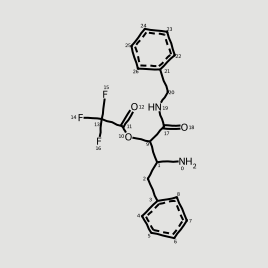 NC(Cc1ccccc1)C(OC(=O)C(F)(F)F)C(=O)NCc1ccccc1